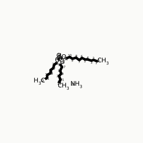 CCCCCCCCCCCCOP(=O)(OCCCCCCCC)OCCCCCCCC.N